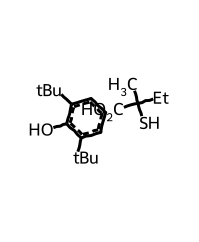 CC(C)(C)c1cccc(C(C)(C)C)c1O.CCC(C)(S)C(=O)O